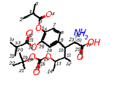 CC(C)C(=O)Oc1ccc(C(C(C)C(C)OC(=O)OC(C)(C)C)[C@H](N)C(=O)O)cc1OC(=O)C(C)C